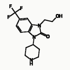 O=c1n(CCO)c2cc(C(F)(F)F)ccc2n1C1CCNCC1